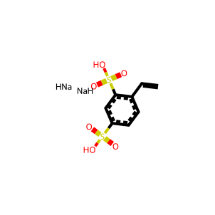 C=Cc1ccc(S(=O)(=O)O)cc1S(=O)(=O)O.[NaH].[NaH]